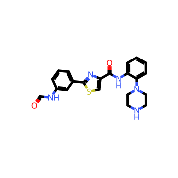 O=CNc1cccc(-c2nc(C(=O)Nc3ccccc3N3CCNCC3)cs2)c1